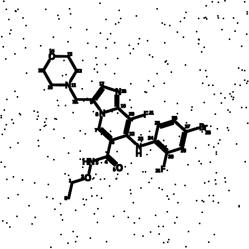 CCONC(=O)c1cn2c(CN3CCOCC3)cnc2c(F)c1Nc1ccc(Br)cc1F